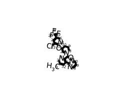 Cc1cnc(C(=O)N2CCCC(Oc3ncc(C(F)(F)F)cc3Cl)C2)c(-c2ncccn2)c1